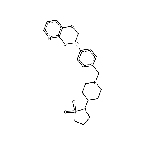 O=S1(=O)CCCN1C1CCN(Cc2ccc([C@H]3COc4cccnc4O3)cc2)CC1